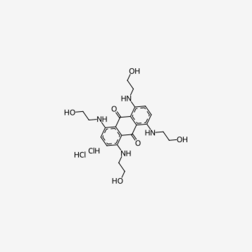 Cl.Cl.O=C1c2c(NCCO)ccc(NCCO)c2C(=O)c2c(NCCO)ccc(NCCO)c21